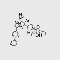 CC(=O)c1c(C2CCN(C(=O)C(C)(C)O)CC2)nc2c(-c3ccc(-c4ccccc4)nc3)cnn2c1N